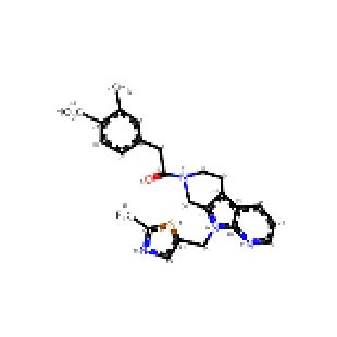 Cc1cc(CC(=O)N2CCc3c(n(Cc4cnc(C(F)(F)F)s4)c4ncccc34)C2)ccc1C(=O)O